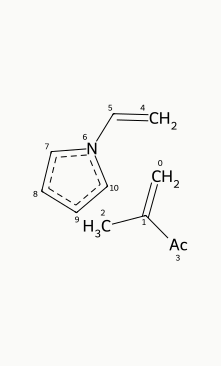 C=C(C)C(C)=O.C=Cn1cccc1